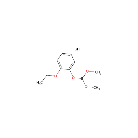 CCOc1ccccc1OB(OC)OC.[LiH]